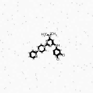 CN(C)c1cc(Nc2ccc(Cl)c(Cl)c2)nc(N2CCN(c3ccccn3)CC2)n1